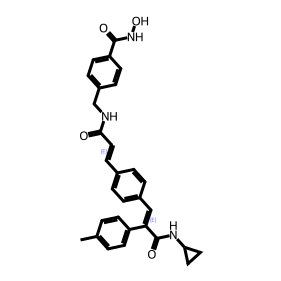 Cc1ccc(/C(=C\c2ccc(/C=C/C(=O)NCc3ccc(C(=O)NO)cc3)cc2)C(=O)NC2CC2)cc1